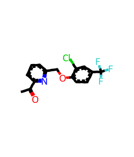 CC(=O)c1cccc(COc2ccc(C(F)(F)F)cc2Cl)n1